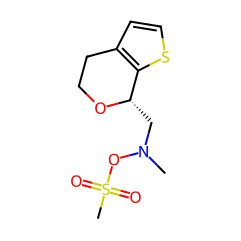 CN(C[C@@H]1OCCc2ccsc21)OS(C)(=O)=O